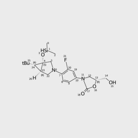 C[SiH](C)O[C@]12CN(c3ccc(N4C[C@H](CO)OC4=O)cc3F)C[C@H]1[C@@H]2C(C)(C)C